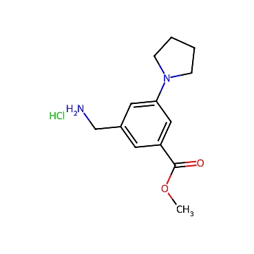 COC(=O)c1cc(CN)cc(N2CCCC2)c1.Cl